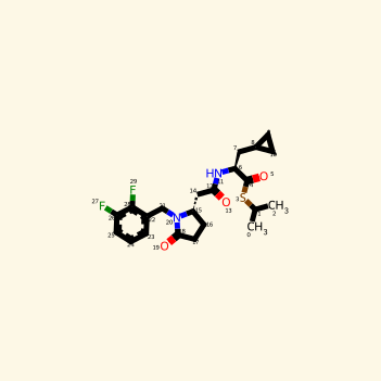 CC(C)SC(=O)[C@H](CC1CC1)NC(=O)C[C@@H]1CCC(=O)N1Cc1cccc(F)c1F